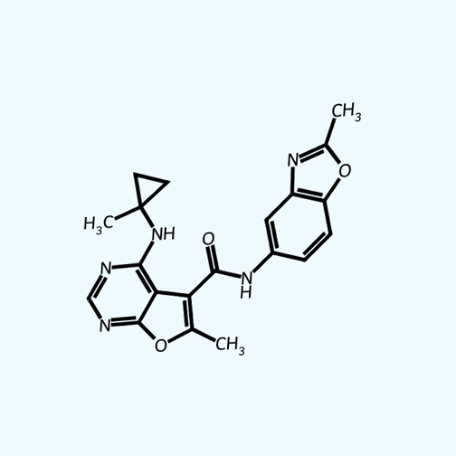 Cc1nc2cc(NC(=O)c3c(C)oc4ncnc(NC5(C)CC5)c34)ccc2o1